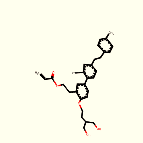 C=CC(=O)OCCc1cc(-c2ccc(CCc3ccc(C)cc3)cc2CC)ccc1OCCC(CO)CO